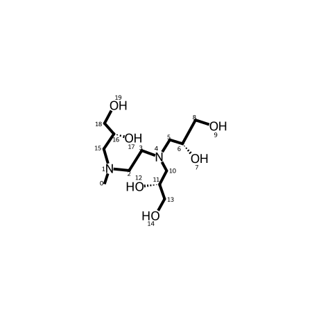 CN(CCN(C[C@@H](O)CO)C[C@@H](O)CO)C[C@@H](O)CO